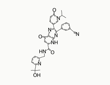 CC(C)n1cc(-c2nc3c(=O)cc(C(=O)NCc4cccc(C(C)(C)O)n4)[nH]c3nc2-c2cccc(C#N)c2)ccc1=O